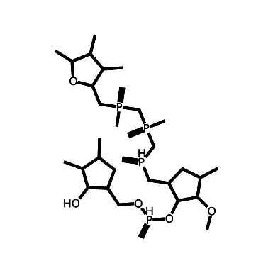 C=[PH](CC1CC(C)C(OC)C1O[PH](=C)OCC1CC(C)C(C)C1O)CP(=C)(C)CP(=C)(C)CC1OC(C)C(C)C1C